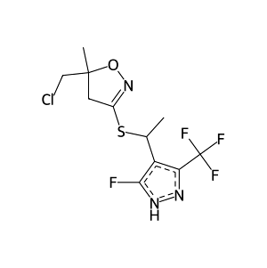 CC(SC1=NOC(C)(CCl)C1)c1c(C(F)(F)F)n[nH]c1F